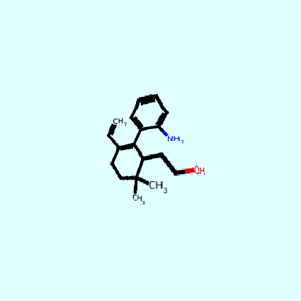 C=CC1=C(c2ccccc2N)C(CCO)C(C)(C)C[C]1